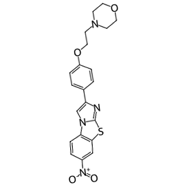 O=[N+]([O-])c1ccc2c(c1)sc1nc(-c3ccc(OCCN4CCOCC4)cc3)cn12